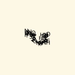 CC(C)c1cc(N2C(=S)N(c3cnc(C#N)c(C(F)(F)F)c3)C(=O)C23CCC3)ccc1OCCN1C[C@@H](C)N(CC(=O)Nc2cc(F)cc(NC3CCC(=O)NC3=O)c2)[C@@H](C)C1